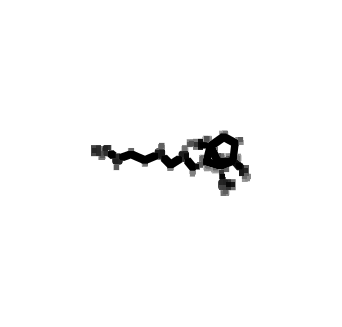 COCCOCOC[C@@H]1[C@@H]2CC[C@@H](C2)[C@@H]1O